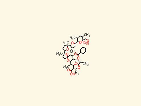 CCC(=O)O[C@H]([C@H](C)[C@H]1O[C@@]2(CC[C@@](C)([C@H]3CC[C@@](C)(C4O[C@@H]([C@H]5O[C@@](O)(CO)[C@H](C)C[C@@H]5C)C[C@@H]4C)O3)O2)C[C@H](OC(=O)C2CCCCC2)[C@H]1C)[C@@H](C)C(=O)O